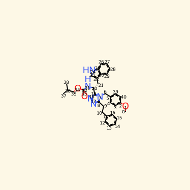 COc1ccc(Cn2c(CCc3ccccc3)nnc2[C@@H](Cc2c[nH]c3ccccc23)NC(=O)OCC(C)C)cc1